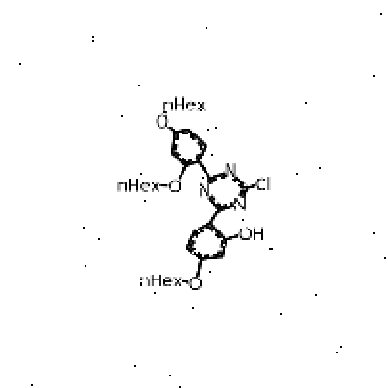 CCCCCCOc1ccc(-c2nc(Cl)nc(-c3ccc(OCCCCCC)cc3OCCCCCC)n2)c(O)c1